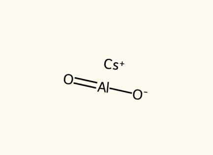 [Cs+].[O]=[Al][O-]